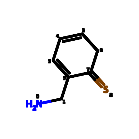 NCC1=CC=CCC1=S